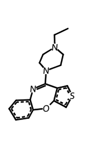 CCN1CCN(C2=Nc3ccccc3Oc3cscc32)CC1